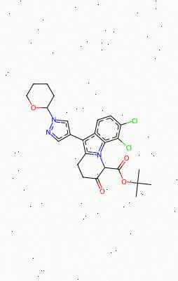 CC(C)(C)OC(=O)C1C(=O)CCc2c(-c3cnn(C4CCCCO4)c3)c3ccc(Cl)c(Cl)c3n21